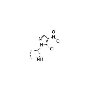 O=[N+]([O-])c1cnn(C2CCCNC2)c1Cl